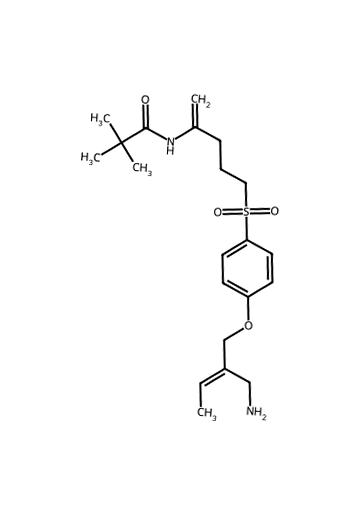 C=C(CCCS(=O)(=O)c1ccc(OC/C(=C/C)CN)cc1)NC(=O)C(C)(C)C